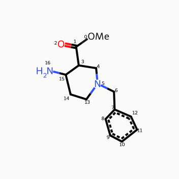 COC(=O)C1CN(Cc2ccccc2)CCC1N